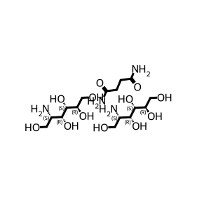 NC(=O)CCC(N)=O.N[C@@H](CO)[C@@H](O)[C@H](O)[C@H](O)CO.N[C@@H](CO)[C@@H](O)[C@H](O)[C@H](O)CO